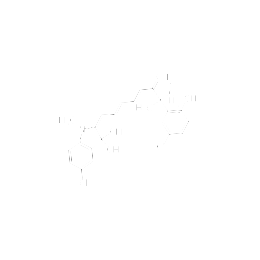 C=C(/C=C/C=C/C=C1/N(C)c2ccc(Cl)cc2C1(C)C)C(C)(C)c1cc(Cl)ccc1C